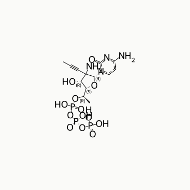 CC#CC1(N)[C@@H](O)[C@@H]([C@@H](C)OP(=O)(O)OP(=O)(O)OP(=O)(O)O)O[C@H]1n1ccc(N)nc1=O